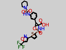 O=C(O)C1(NS(=O)(=O)c2ccc(-c3cc(C(F)(F)F)on3)s2)CC1c1cccc(NS(=O)(=O)N2CCCCC2)c1